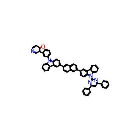 c1ccc(-c2cc(-c3ccccc3)nc(-n3c4ccccc4c4cc(-c5ccc6cc(-c7ccc8c(c7)c7ccccc7n8-c7ccc8oc9ccncc9c8c7)ccc6c5)ccc43)n2)cc1